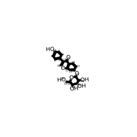 O=c1c(-c2ccc(O)cc2)coc2cc(OC3OC(CO)C(O)C(O)C3O)ccc12